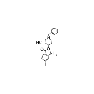 Cl.Nc1cc(I)ccc1C(=O)OC1CCN(Cc2ccccc2)CC1